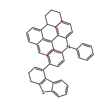 C1=C(c2ccc(N(c3ccccc3)c3ccccc3-c3cccc4cccc(C5CCCCC5)c34)cc2)c2c(sc3ccccc23)CC1